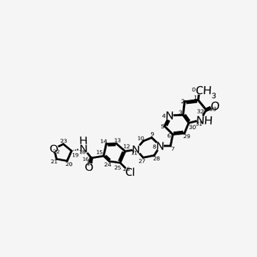 Cc1cc2ncc(CN3CCN(c4ccc(C(=O)N[C@@H]5CCOC5)cc4Cl)CC3)cc2[nH]c1=O